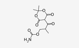 CC(COC(N)=O)C(=O)C1C(=O)OC(C)(C)OC1=O